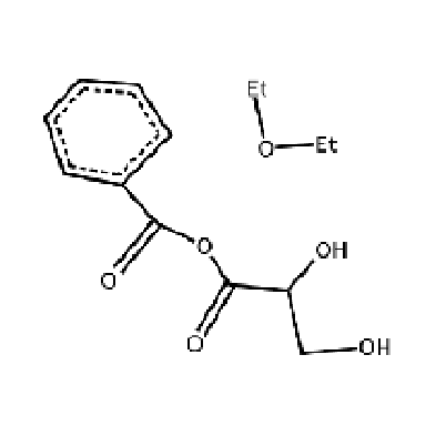 CCOCC.O=C(OC(=O)C(O)CO)c1ccccc1